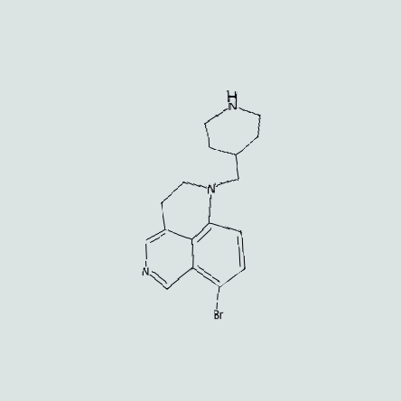 Brc1ccc2c3c(cncc13)CCN2CC1CCNCC1